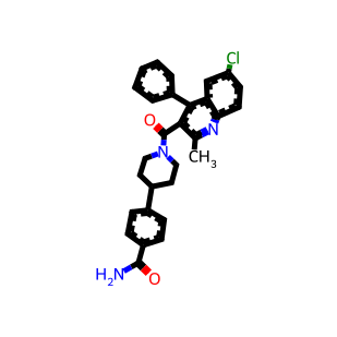 Cc1nc2ccc(Cl)cc2c(-c2ccccc2)c1C(=O)N1CCC(c2ccc(C(N)=O)cc2)CC1